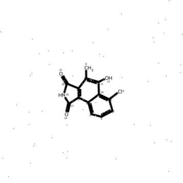 Cc1c2c(c3cccc(Cl)c3c1O)C(=O)NC2=O